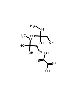 CPC(O)(O)CO.CPC(O)(O)CO.O=C(O)C(=O)O